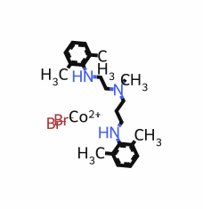 Cc1cccc(C)c1NCCCN(C)CCNc1c(C)cccc1C.[Br-].[Br-].[Co+2]